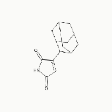 O=C1C=C(C2C3CC4CC(C3)CC2C4)C(=O)N1